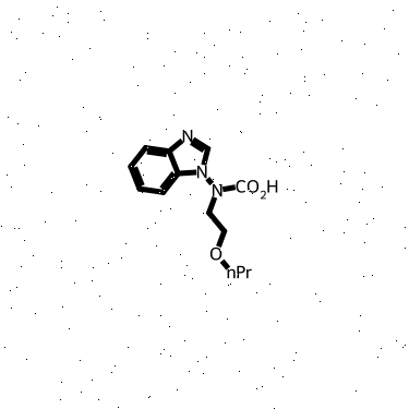 CCCOCCN(C(=O)O)n1cnc2ccccc21